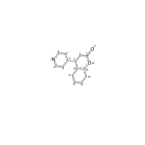 O=c1cc(-c2ccncc2)c2ccccc2o1